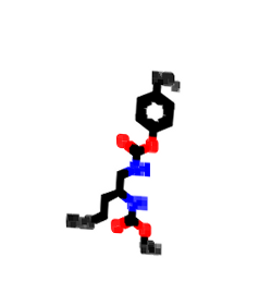 CSCC[C@@H](CNC(=O)Oc1ccc([N+](=O)[O-])cc1)NC(=O)OC(C)(C)C